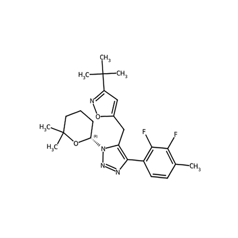 Cc1ccc(-c2nnn([C@H]3CCCC(C)(C)O3)c2Cc2cc(C(C)(C)C)no2)c(F)c1F